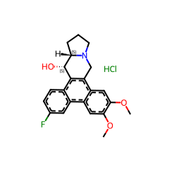 COc1cc2c3c(c4ccc(F)cc4c2cc1OC)[C@H](O)[C@@H]1CCCN1C3.Cl